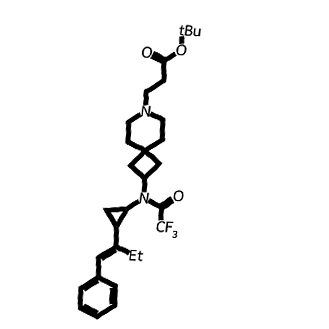 CC/C(=C\c1ccccc1)C1CC1N(C(=O)C(F)(F)F)C1CC2(CCN(CCC(=O)OC(C)(C)C)CC2)C1